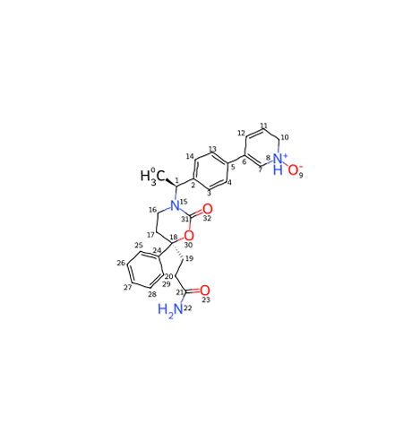 C[C@@H](c1ccc(C2=C[NH+]([O-])CC=C2)cc1)N1CC[C@](CCC(N)=O)(c2ccccc2)OC1=O